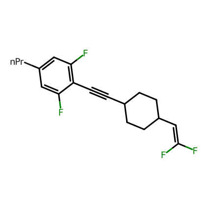 CCCc1cc(F)c(C#CC2CCC(C=C(F)F)CC2)c(F)c1